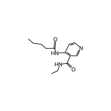 CCCCC(=O)Nc1ccncc1C(=O)NCC